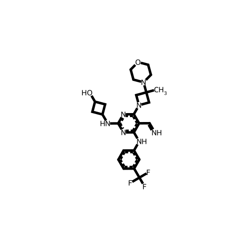 CC1(N2CCOCC2)CN(c2nc(NC3CC(O)C3)nc(Nc3cccc(C(F)(F)F)c3)c2C=N)C1